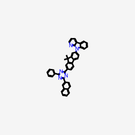 CC1(C)c2cc(-c3nc(-c4ccccc4)nc(-c4ccc5ccccc5c4)n3)ccc2-c2ccc(-n3c4ccccc4c4cccnc43)cc21